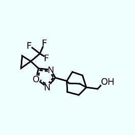 OCC12CCC(c3noc(C4(C(F)(F)F)CC4)n3)(CC1)CC2